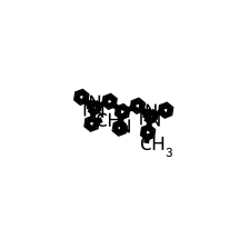 Cc1ccc(-c2nc(-c3ccccc3)nc(-c3cccc(-c4cc(-c5cccc(-c6nc(-c7ccccc7)nc(-c7ccccc7C)n6)c5)cc(-c5ccccn5)c4)c3)n2)cc1